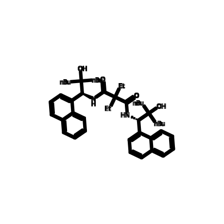 CCCCC(O)(CCCC)[C@@H](NC(=O)C(CC)(CC)C(=O)N[C@@H](c1cccc2ccccc12)C(O)(CCCC)CCCC)c1cccc2ccccc12